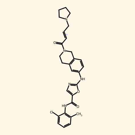 Cc1cccc(Cl)c1NC(=O)c1cnc(Nc2ccc3c(c2)CCN(C(=O)/C=C/CN2CCCC2)C3)o1